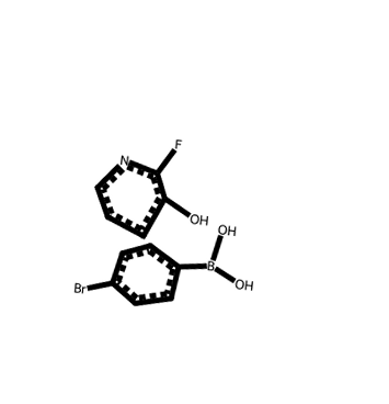 OB(O)c1ccc(Br)cc1.Oc1cccnc1F